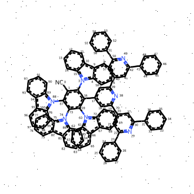 N#Cc1c(-n2c3ccccc3c3ccccc32)c(-c2cc(-c3cc(-c4ccccc4)nc(-c4ccccc4)c3)nc(-c3cc(-c4ccccc4)nc(-c4ccccc4)c3)c2)c(-n2c3ccccc3c3ccccc32)c(-n2c3ccccc3c3ccccc32)c1-n1c2ccccc2c2ccccc21